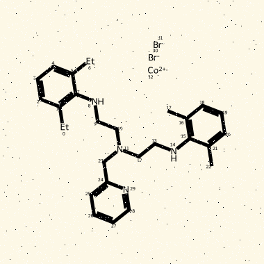 CCc1cccc(CC)c1NCCN(CCNc1c(C)cccc1C)Cc1ccccn1.[Br-].[Br-].[Co+2]